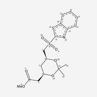 COC(=O)C[C@H]1C[C@@H](CS(=O)(=O)c2nc3ccccc3s2)OC(C)(C)O1